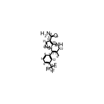 CC1=C(c2cccc(C(F)(F)F)c2)n2ncc(C(N)=O)c2NC1